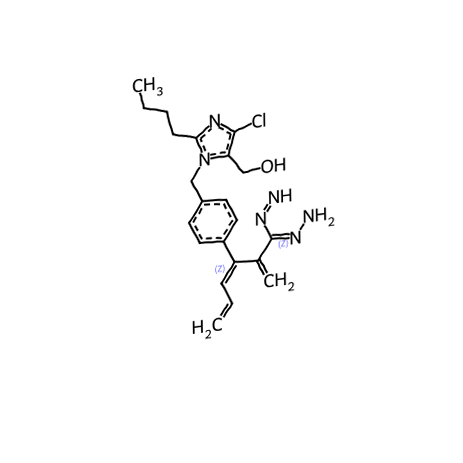 C=C/C=C(\C(=C)/C(N=N)=N/N)c1ccc(Cn2c(CCCC)nc(Cl)c2CO)cc1